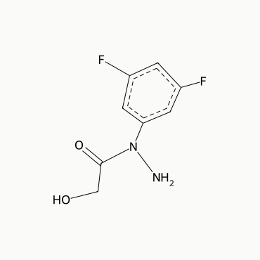 NN(C(=O)CO)c1cc(F)cc(F)c1